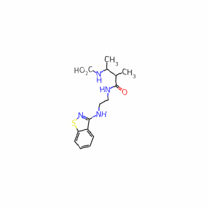 CC(NC(=O)O)C(C)C(=O)NCCNc1nsc2ccccc12